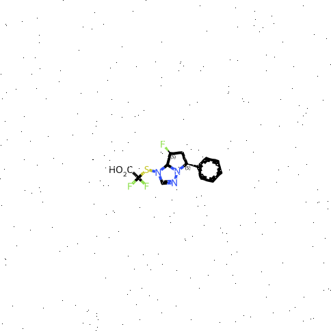 O=C(O)C(F)(F)SN1C=NN2C1[C@@H](F)C[C@H]2c1ccccc1